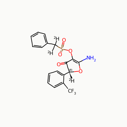 [2H]C([2H])(c1ccccc1)S(=O)(=O)OC1=C(N)O[C@]([2H])(c2ccccc2C(F)(F)F)C1=O